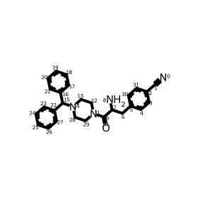 N#Cc1ccc(CC(N)C(=O)N2CCN(C(c3ccccc3)c3ccccc3)CC2)cc1